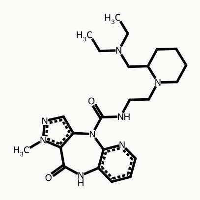 CCN(CC)CC1CCCCN1CCNC(=O)N1c2cnn(C)c2C(=O)Nc2cccnc21